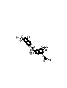 O=C(O)COc1cc(S(=O)(=O)O)cc2cc(NC(=O)Nc3ccc4c(O)cc(S(=O)(=O)O)cc4c3)ccc12.[Na].[Na]